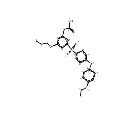 CCCOc1cc(CC(=O)O)cc(S(=O)(=O)c2ccc(Oc3ccc(OCC)cc3)cc2)c1